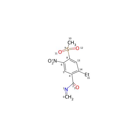 C=NC(=O)c1cc([N+](=O)[O-])c(S(C)(=O)=O)cc1CC